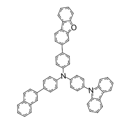 c1ccc2cc(-c3ccc(N(c4ccc(-c5ccc6c(c5)oc5ccccc56)cc4)c4ccc(-n5c6ccccc6c6ccccc65)cc4)cc3)ccc2c1